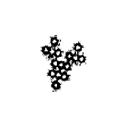 CC1(C)c2ccccc2N(c2ccccc2)c2cccc(-c3cccc4c(-c5c6ccccc6c(-c6ccccc6)c6ccccc56)c5cccc(-c6cccc7c6C(C)(C)c6ccccc6N7c6ccccc6)c5cc34)c21